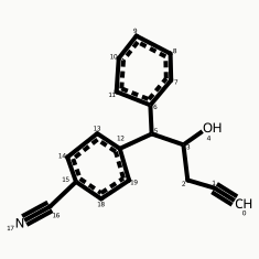 C#CCC(O)C(c1ccccc1)c1ccc(C#N)cc1